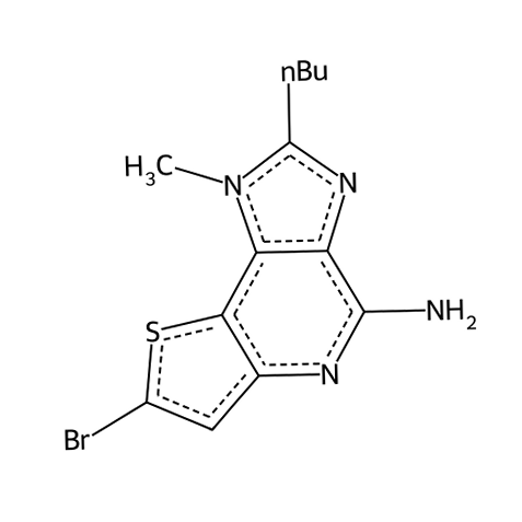 CCCCc1nc2c(N)nc3cc(Br)sc3c2n1C